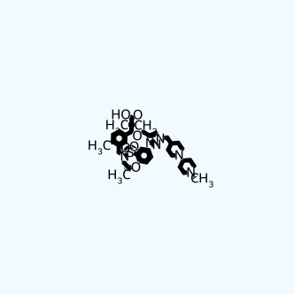 Cc1ccc(C(OCc2cn(CC3CCN(C4CCN(C)CC4)CC3)nn2)C(C)(C)C(=O)O)cc1CN1C[C@@H](C)Oc2ccccc2S1(=O)=O